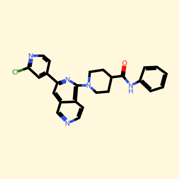 O=C(Nc1ccccc1)C1CCN(c2nc(-c3ccnc(Cl)c3)cc3cnccc23)CC1